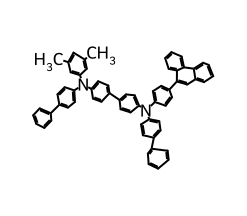 Cc1cc(C)cc(N(c2ccc(-c3ccccc3)cc2)c2ccc(-c3ccc(N(c4ccc(-c5ccccc5)cc4)c4ccc(-c5cc6ccccc6c6ccccc56)cc4)cc3)cc2)c1